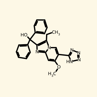 CCc1c(C(O)(c2ccccc2)c2ccccc2)nc2cc(OC)c(-c3nnn[nH]3)cn12